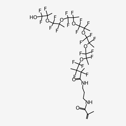 C=C(C)C(=O)NCCCNC(=O)C(C)(F)C(C)(F)C(F)(F)OC(C)(F)C(F)(F)OC(C)(F)C(F)(F)OC(C)(F)C(F)(F)OC(C)(F)C(F)(F)OC(C)(F)C(F)(F)OC(C)(F)C(O)(F)F